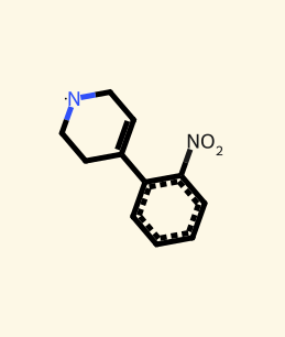 O=[N+]([O-])c1ccccc1C1=CC[N]CC1